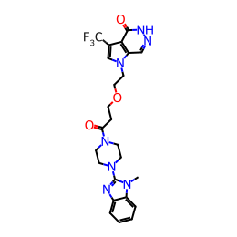 Cn1c(N2CCN(C(=O)CCOCCn3cc(C(F)(F)F)c4c(=O)[nH]ncc43)CC2)nc2ccccc21